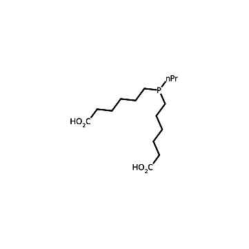 CCCP(CCCCCC(=O)O)CCCCCC(=O)O